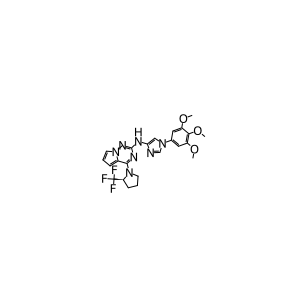 COc1cc(-n2cnc(Nc3nc(N4CCC[C@H]4C(F)(F)F)c4cccn4n3)c2)cc(OC)c1OC